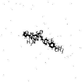 C[SiH2]c1ccc(N2CCN(CCn3c(=O)sc4c3nc(N)n3nc(-c5ccco5)nc43)CC2)c(F)c1